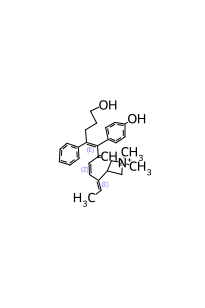 C=C(/C=C\C(=C/C)C1C[N+](C)(C)C1)/C(=C(/CCCO)c1ccccc1)c1ccc(O)cc1